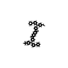 CCc1ccc(N(c2cccc(C3=CCCC=C3)c2)c2ccc3c(c2)oc2cc4cc5c(cc4cc23)oc2cc(N(c3ccc(C(C)(C)C)cc3)c3cccc(-c4ccccc4)c3)ccc25)cc1